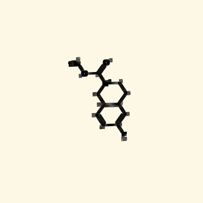 CC(C)(C)OC(=O)N1CCc2cc(F)ccc2C1